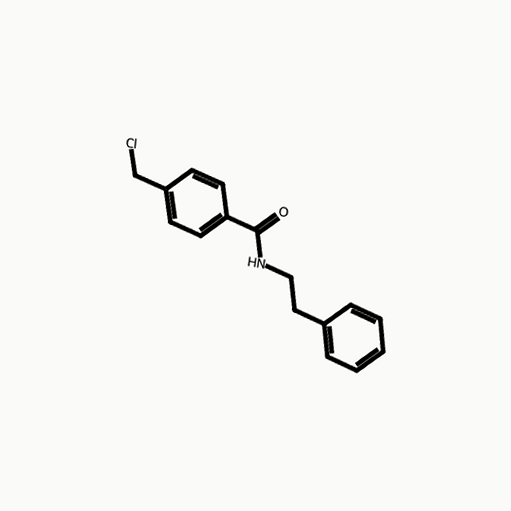 O=C(NCCc1ccccc1)c1ccc(CCl)cc1